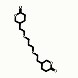 O=C1CCC(CCSCCCSCCC2CCC(=O)OC2)CO1